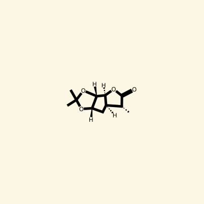 C[C@H]1C(=O)O[C@H]2[C@@H]1C[C@@H]1OC(C)(C)O[C@H]21